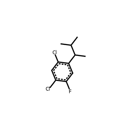 CC(C)C(C)c1cc(F)c(Cl)cc1Cl